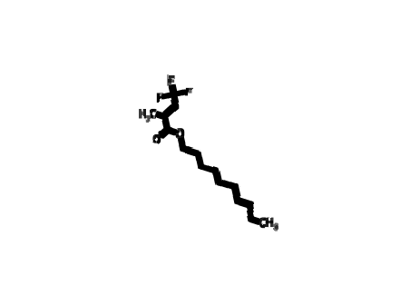 CCCCCCCCCCOC(=O)C(C)=CC(F)(F)F